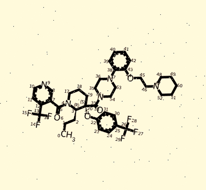 CCC[C@H]1N(C(=O)c2cnccc2C(F)(F)F)CCC[C@@]1(Oc1ccc(C(F)(F)F)cc1)C(=O)N1CCN(c2ccccc2OCCN2CCCCC2)CC1